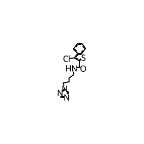 O=C(NCCCCn1cncn1)c1sc2ccccc2c1Cl